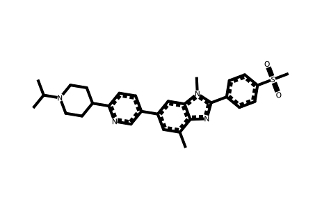 Cc1cc(-c2ccc(C3CCN(C(C)C)CC3)nc2)cc2c1nc(-c1ccc(S(C)(=O)=O)cc1)n2C